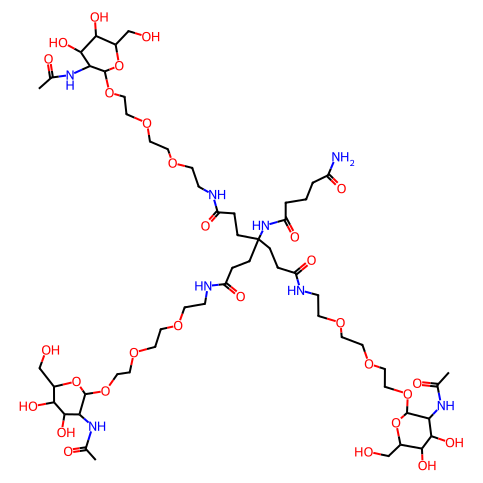 CC(=O)NC1C(OCCOCCOCCNC(=O)CCC(CCC(=O)NCCOCCOCCOC2OC(CO)C(O)C(O)C2NC(C)=O)(CCC(=O)NCCOCCOCCOC2OC(CO)C(O)C(O)C2NC(C)=O)NC(=O)CCCC(N)=O)OC(CO)C(O)C1O